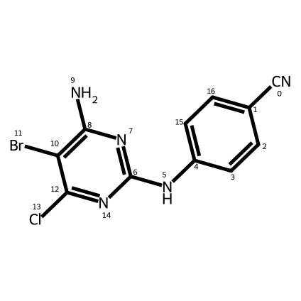 N#Cc1ccc(Nc2nc(N)c(Br)c(Cl)n2)cc1